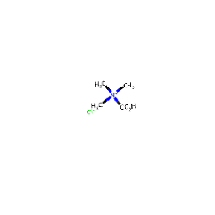 C[N+](C)(C)C(=O)O.[Cl-]